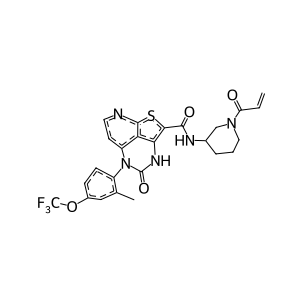 C=CC(=O)N1CCCC(NC(=O)c2sc3nccc4c3c2NC(=O)N4c2ccc(OC(F)(F)F)cc2C)C1